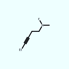 CCC#CCCN(C)F